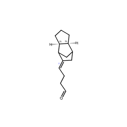 O=CCC/C=C1\CC2CC1[C@H]1CCC[C@@H]21